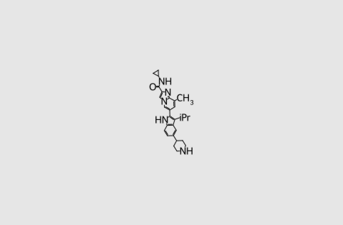 Cc1cc(-c2[nH]c3ccc(C4CCNCC4)cc3c2C(C)C)cn2cc(C(=O)NC3CC3)nc12